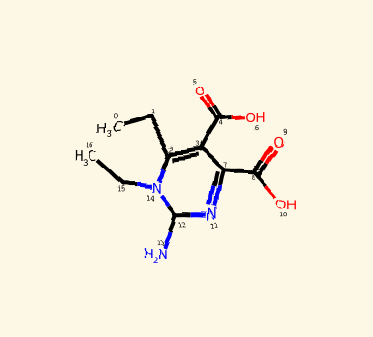 CCC1=C(C(=O)O)C(C(=O)O)=NC(N)N1CC